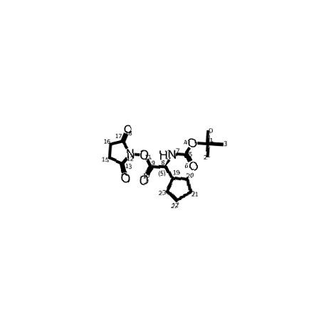 CC(C)(C)OC(=O)N[C@H](C(=O)ON1C(=O)CCC1=O)C1CCCC1